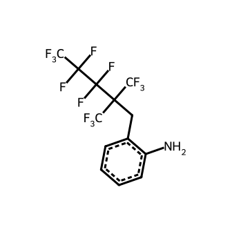 Nc1ccccc1CC(C(F)(F)F)(C(F)(F)F)C(F)(F)C(F)(F)C(F)(F)F